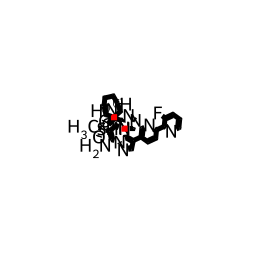 CS(=O)(=O)c1c([C@@H]2C[C@H]3CC[C@@H](C2)N3C(=O)c2nnc[nH]2)nc2c(-c3ccc(-c4ncccc4F)nc3)cnn2c1N